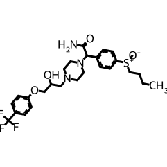 CCCC[S+]([O-])c1ccc(C(C(N)=O)N2CCN(CC(O)COc3ccc(C(F)(F)F)cc3)CC2)cc1